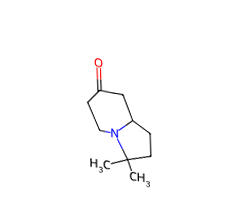 CC1(C)CCC2CC(=O)CCN21